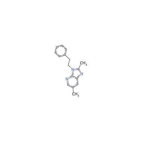 Cc1cnc2c(c1)nc(C)n2CCc1ccccc1